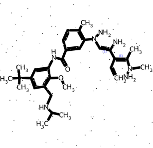 C=CC(/C(N)=C/N(N)c1cc(C(=O)Nc2cc(C(C)(C)C)cc(CNC(C)C)c2OC)ccc1C)=C(/C)N(C)N